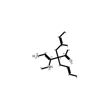 C/C=C/CC(C/C(C)=C/C)(C(C)=O)/C(=C/N)NC